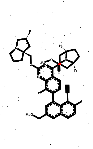 C#Cc1c(F)ccc2cc(COC)cc(-c3ccc4c(N5C[C@H]6CC[C@@H](C5)N6C(=O)OC(C)(C)C)nc(OC[C@@]56CCCN5C[C@H](F)C6)nc4c3F)c12